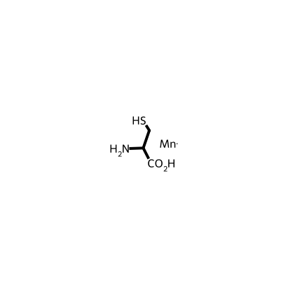 NC(CS)C(=O)O.[Mn]